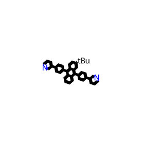 CC(C)(C)c1ccc2c(-c3ccc(-c4cccnc4)cc3)c3ccccc3c(-c3ccc(-c4cccnc4)cc3)c2c1